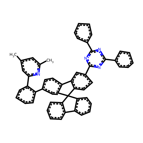 Cc1cc(C)nc(-c2ccccc2-c2ccc3c(c2)C2(c4ccccc4-c4ccccc42)c2ccc(-c4nc(-c5ccccc5)nc(-c5ccccc5)n4)cc2-3)c1